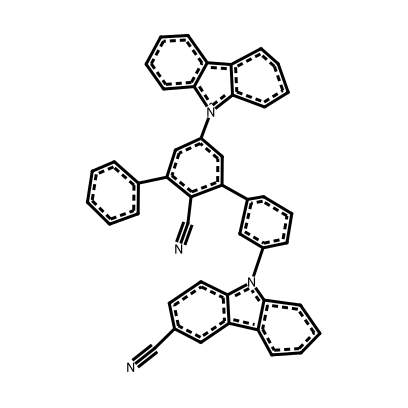 N#Cc1ccc2c(c1)c1ccccc1n2-c1cccc(-c2cc(-n3c4ccccc4c4ccccc43)cc(-c3ccccc3)c2C#N)c1